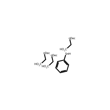 CCCCCCCCCCCC(=O)O.CCCCCCCCCCCC(=O)O.CCCCCCCCCCCC(=O)O.[SnH][c]1ccccc1